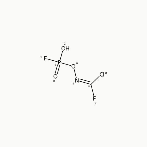 O=P(O)(F)ON=C(F)Cl